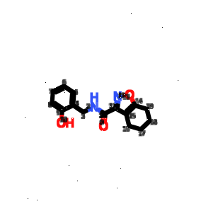 O=C(NCc1ccccc1O)c1noc2c1CCCC2